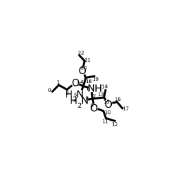 CCCOC(N)(NC(N)(OCCC)C(C)OCC)C(C)OCC